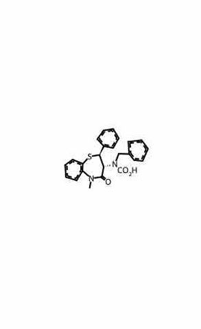 CN1C(=O)[C@@H](N(Cc2ccccc2)C(=O)O)[C@H](c2ccccc2)Sc2ccccc21